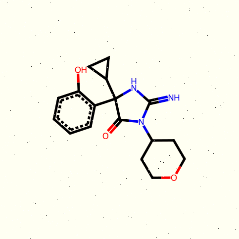 N=C1NC(c2ccccc2O)(C2CC2)C(=O)N1C1CCOCC1